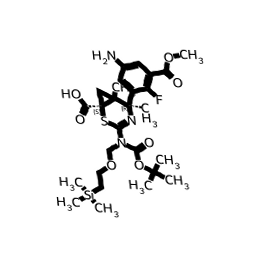 COC(=O)c1cc(N)cc([C@@]2(C)N=C(N(COCC[Si](C)(C)C)C(=O)OC(C)(C)C)S[C@@]3(C(=O)O)CC32C)c1F